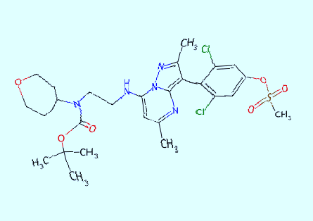 Cc1cc(NCCN(C(=O)OC(C)(C)C)C2CCOCC2)n2nc(C)c(-c3c(Cl)cc(OS(C)(=O)=O)cc3Cl)c2n1